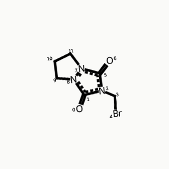 O=c1n(CBr)c(=O)n2n1CCC2